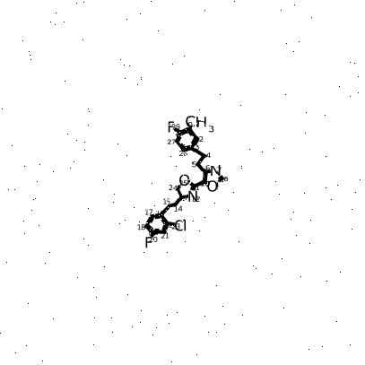 Cc1cc(CCC2N=[C]OC2C2=NC(CCc3ccc(F)cc3Cl)CO2)ccc1F